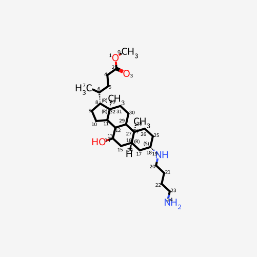 COC(=O)CCC(C)[C@H]1CCC2C3C(O)C[C@H]4C[C@@H](NCCCCN)CC[C@]4(C)C3CC[C@@]21C